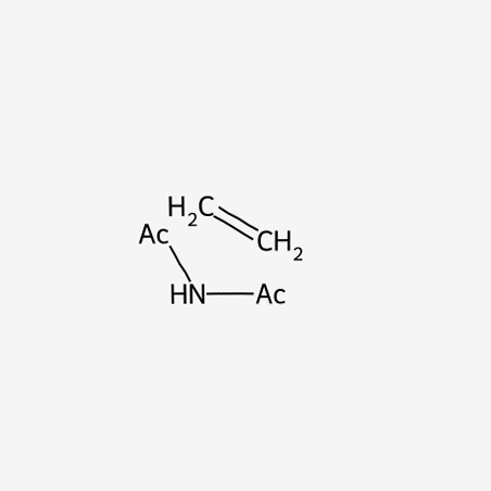 C=C.CC(=O)NC(C)=O